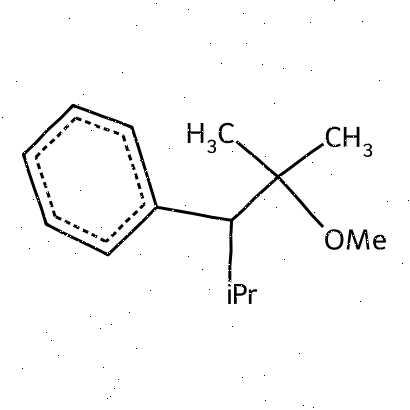 COC(C)(C)C(c1ccccc1)C(C)C